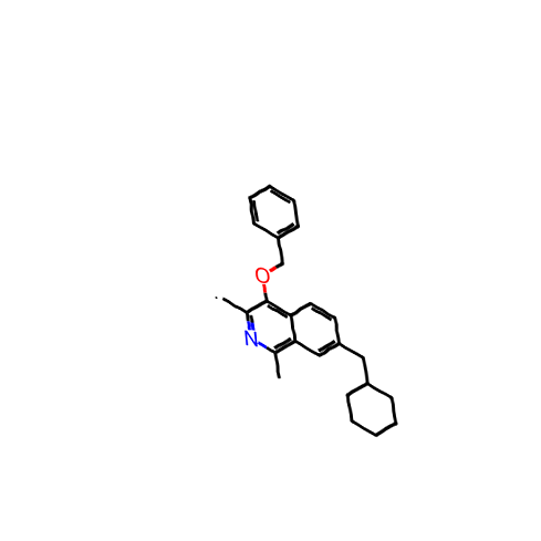 [CH2]c1nc(C)c2cc(CC3CCCCC3)ccc2c1OCc1ccccc1